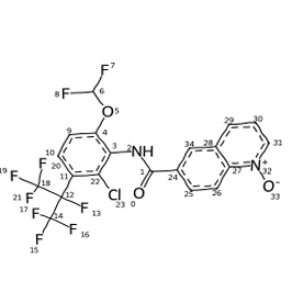 O=C(Nc1c(OC(F)F)ccc(C(F)(C(F)(F)F)C(F)(F)F)c1Cl)c1ccc2c(ccc[n+]2[O-])c1